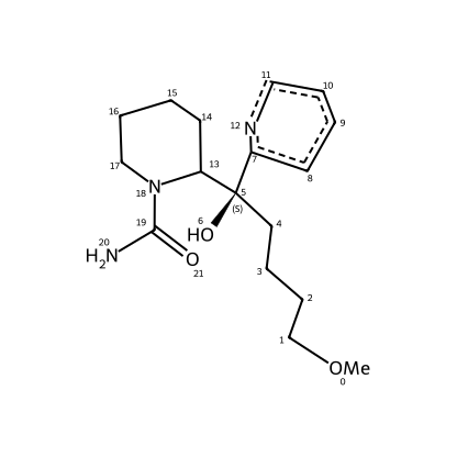 COCCCC[C@@](O)(c1ccccn1)C1CCCCN1C(N)=O